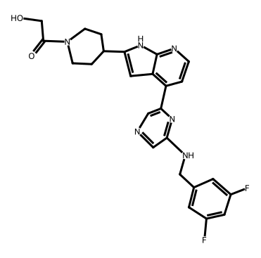 O=C(CO)N1CCC(c2cc3c(-c4cncc(NCc5cc(F)cc(F)c5)n4)ccnc3[nH]2)CC1